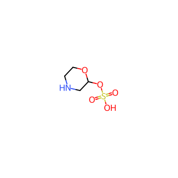 O=S(=O)(O)OC1CNCCO1